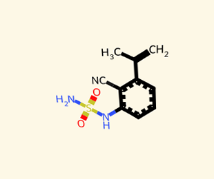 C=C(C)c1cccc(NS(N)(=O)=O)c1C#N